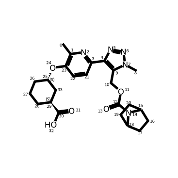 Cc1nc(-c2nnn(C)c2COC(=O)N2C3CCC2CC3)ccc1O[C@H]1CCC[C@H](C(=O)O)C1